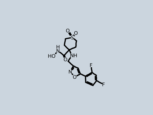 O=C(NO)C1(NCc2cc(-c3ccc(F)cc3F)on2)CCS(=O)(=O)CC1